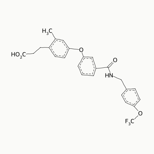 Cc1cc(Oc2cccc(C(=O)NCc3ccc(OC(F)(F)F)cc3)c2)ccc1CCC(=O)O